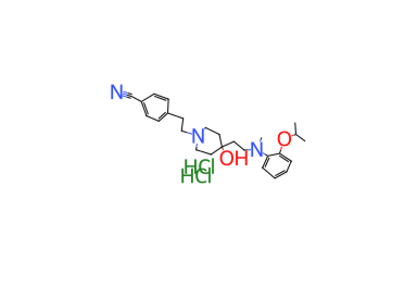 CC(C)Oc1ccccc1N(C)CCC1(O)CCN(CCc2ccc(C#N)cc2)CC1.Cl.Cl